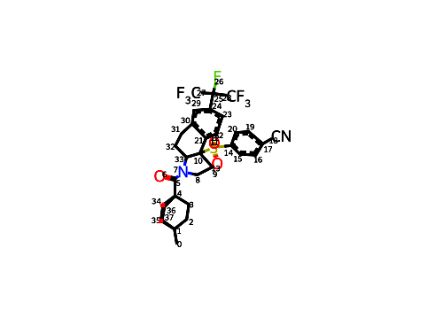 CC12CCC(C(=O)N3CCC4(S(=O)(=O)c5ccc(C#N)cc5)c5ccc(C(F)(C(F)(F)F)C(F)(F)F)cc5CCC34)(CC1)CC2